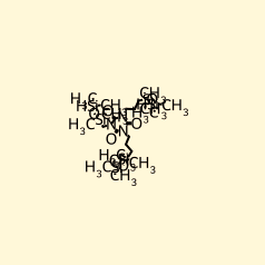 C[SiH](C)O[Si](C)(C)CCCn1c(=O)n(CCC[Si](C)(C)O[Si](C)(C)C)c(=O)n(C[Si](C)(C)O[SiH](C)C)c1=O